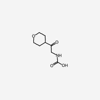 O=C(O)NCC(=O)C1CCOCC1